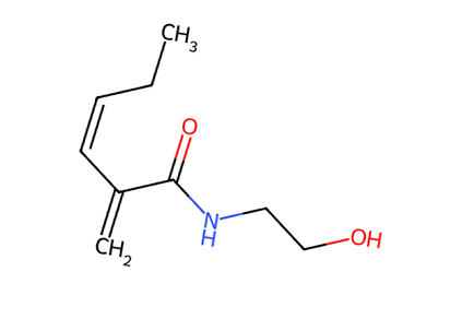 C=C(/C=C\CC)C(=O)NCCO